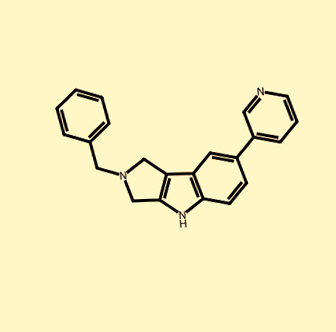 c1ccc(CN2Cc3[nH]c4ccc(-c5cccnc5)cc4c3C2)cc1